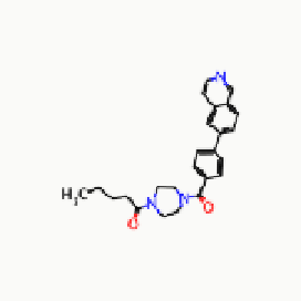 CCCCC(=O)N1CCN(C(=O)c2ccc(-c3ccc4cnccc4c3)cc2)CC1